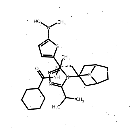 Cc1nnc(C(C)C)n1C1CC2CCC(C1)N2CC[C@H](NC(=O)C1CCCCC1)c1ccc(N(C)O)s1